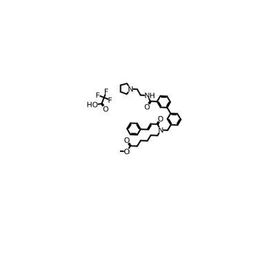 COC(=O)CCCCCN(Cc1cccc(-c2cccc(C(=O)NCCN3CCCC3)c2)c1)C(=O)/C=C/c1ccccc1.O=C(O)C(F)(F)F